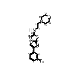 Fc1cccc(-c2cn3nc(NCCN4CCOCC4)sc3n2)c1